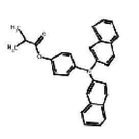 CC(C)C(=O)Oc1ccc(N(c2ccc3ccccc3c2)c2ccc3ccccc3c2)cc1